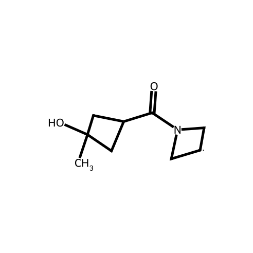 CC1(O)CC(C(=O)N2C[CH]C2)C1